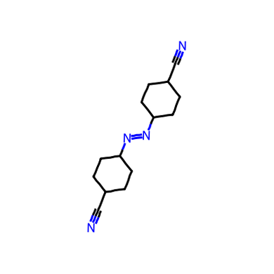 N#CC1CCC(N=NC2CCC(C#N)CC2)CC1